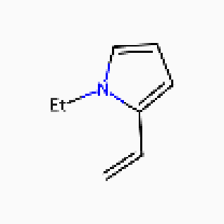 C=Cc1cccn1CC